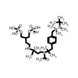 CC(=O)N(CCC(C)(C)NCCC(COP(=O)(O)O)COP(=O)(O)O)C(C)(C)Cc1ccc(C[N+](C)(C)N(C)C(C)(C)C)cc1